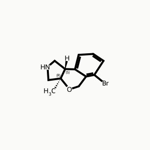 C[C@]12CNC[C@@H]1c1cccc(Br)c1CO2